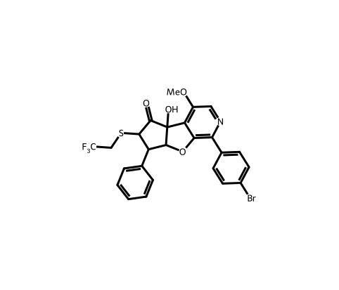 COc1cnc(-c2ccc(Br)cc2)c2c1C1(O)C(=O)C(SCC(F)(F)F)C(c3ccccc3)C1O2